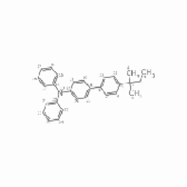 CCC(C)(C)c1ccc(-c2ccc(N(c3ccccc3)c3ccccc3)cc2)cc1